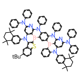 CC(C)(C)c1ccc2sc3c(c2c1)N(c1ccc2c(c1)C(C)(C)CCC2(C)C)c1cc(N(c2ccccc2)c2ccccc2)nc2c1B3c1cc3c(cc1N2c1ccccc1)N(c1ccccc1)c1nc(N(c2ccccc2)c2ccccc2)cc2c1B3c1ccccc1N2c1ccc2c(c1)C(C)(C)CCC2(C)C